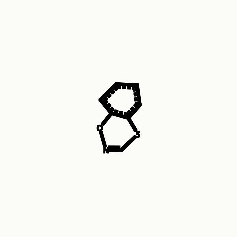 C1=NOc2ccccc2S1